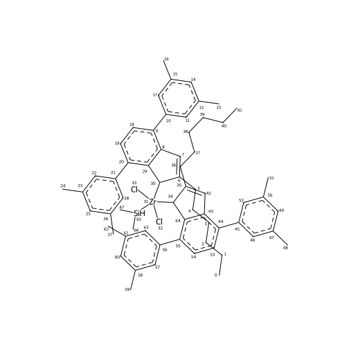 CCCCCCC1=Cc2c(-c3cc(C)cc(C)c3)ccc(-c3cc(C)cc(C)c3)c2[CH]1[Zr]([Cl])([Cl])([CH]1C(CCCCCC)=Cc2c(-c3cc(C)cc(C)c3)ccc(-c3cc(C)cc(C)c3)c21)[SiH](C)C